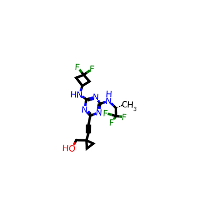 C[C@@H](Nc1nc(C#CC2(CO)CC2)nc(NC2CC(F)(F)C2)n1)C(F)(F)F